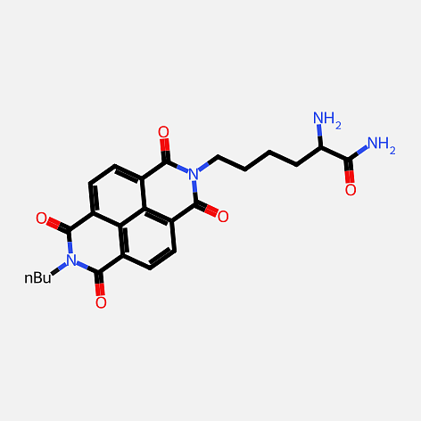 CCCCN1C(=O)c2ccc3c4c(ccc(c24)C1=O)C(=O)N(CCCCC(N)C(N)=O)C3=O